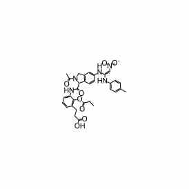 CCC(=O)Oc1c(CCC(=O)O)cccc1NC(=O)C1c2ccc(NC(=C[N+](=O)[O-])Nc3ccc(C)cc3)cc2CN1C(C)=O